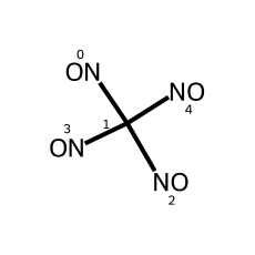 O=NC(N=O)(N=O)N=O